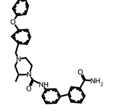 CC1CN(Cc2cccc(Oc3ccccc3)c2)CCN1C(=O)Nc1cccc(-c2cccc(C(N)=O)c2)c1